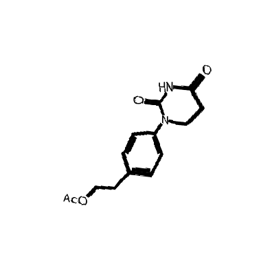 CC(=O)OCCc1ccc(N2CCC(=O)NC2=O)cc1